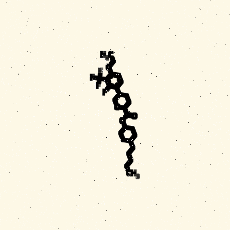 CCCCCC1CCC(OC(=O)C2CCC(c3ccc(OCC)c(C(F)(F)F)c3F)CO2)CC1